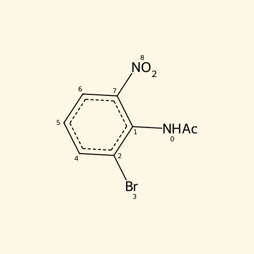 CC(=O)Nc1c(Br)cccc1[N+](=O)[O-]